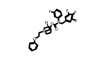 O=C(O[C@H]1C[N+]2(CCOc3ccccc3)CCC1CC2)N(Cc1cc(F)c(F)c(F)c1)c1cccc(F)c1